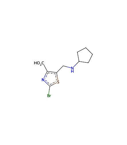 O=C(O)c1nc(Br)sc1CNC1CCCC1